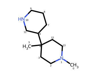 CN1CCC(C)(C2CCCNC2)CC1